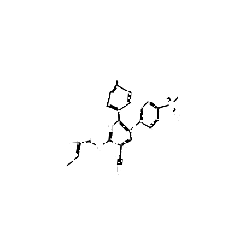 CC=C(C)COc1nc(-c2ccc(F)cc2)c(-c2ccc(S(C)(=O)=O)cc2)cc1C#N